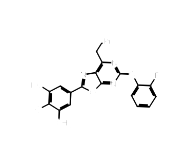 Cc1cc(-c2nc3c(CC(C)C)nc(Oc4ccccc4F)nc3o2)cc(C)c1[O]